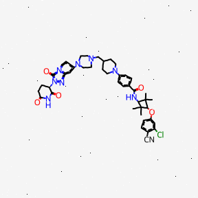 CC1(C)C(NC(=O)c2ccc(N3CCC(CN4CCN(c5ccn6c(=O)n([C@@H]7CCC(=O)NC7=O)nc6c5)CC4)CC3)cc2)C(C)(C)C1Oc1ccc(C#N)c(Cl)c1